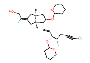 CCC#CC[C@H](C)[C@@H](/C=C/[C@@H]1[C@H]2CC(=C(F)CO)C[C@H]2C[C@H]1OC1CCCCO1)OC1CCCCO1